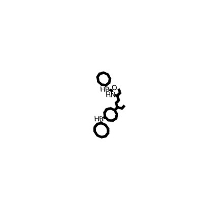 CCC(CCC(CC)C1CCCCC(BC2CCCCCCCCC2)CCC1)NC(=O)BC1CCCCCCCC1